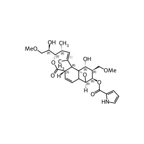 COC[C@H]1[C@@H](OC(=O)c2ccc[nH]2)[C@@H]2O[C@@]34/C(C)=C/[C@@H](C)[C@@H]([C@H](O)COC)OC(=O)[C@H]3C=CC2C4[C@@H]1O